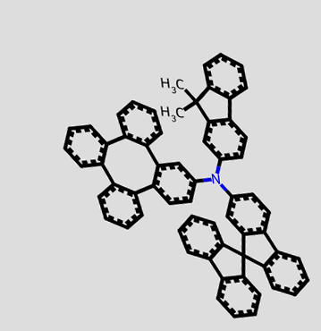 CC1(C)c2ccccc2-c2ccc(N(c3ccc4c(c3)-c3ccccc3-c3ccccc3-c3ccccc3-4)c3ccc4c(c3)C3(c5ccccc5-c5ccccc53)c3ccccc3-4)cc21